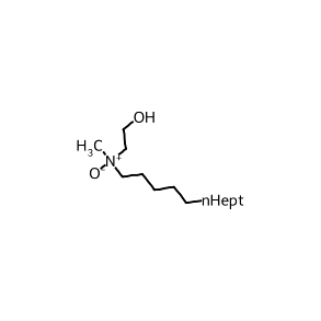 CCCCCCCCCCCC[N+](C)([O-])CCO